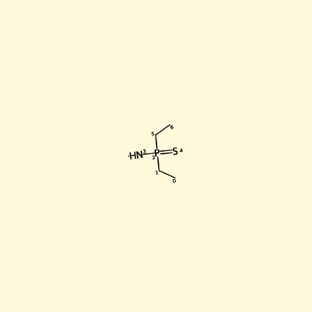 CCP([NH])(=S)CC